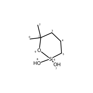 CC1(C)CCC[Si](O)(O)O1